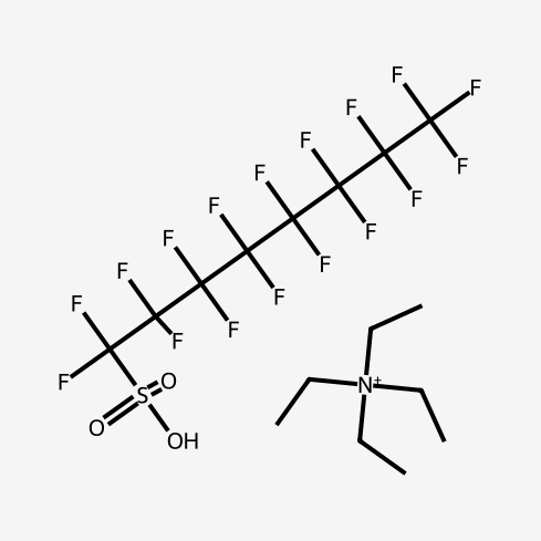 CC[N+](CC)(CC)CC.O=S(=O)(O)C(F)(F)C(F)(F)C(F)(F)C(F)(F)C(F)(F)C(F)(F)C(F)(F)C(F)(F)F